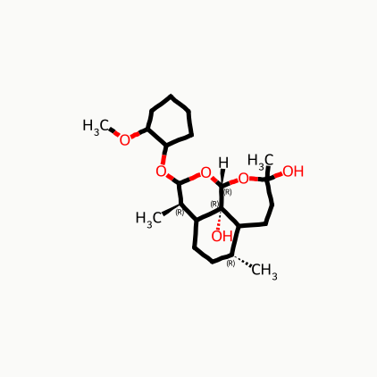 COC1CCCCC1OC1O[C@@H]2OC(C)(O)CCC3[C@H](C)CCC([C@H]1C)[C@]32O